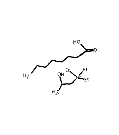 CCCCCCCC(=O)O.CC[N+](CC)(CC)CC(C)O